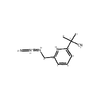 CC(C)(C#N)c1cccc(CN=[N+]=[N-])n1